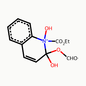 CCOC(=O)[N+]1(O)c2ccccc2C=CC1(O)O[C]=O